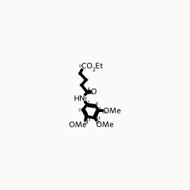 CCOC(=O)CCCC(=O)Nc1cc(OC)c(OC)c(OC)c1